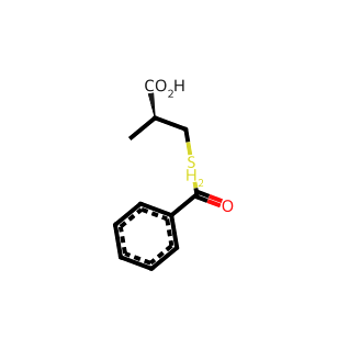 C[C@H](C[SH2]C(=O)c1ccccc1)C(=O)O